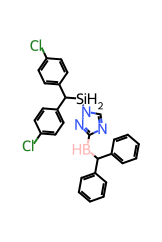 Clc1ccc(C([SiH2]n2cnc(BC(c3ccccc3)c3ccccc3)n2)c2ccc(Cl)cc2)cc1